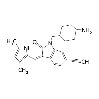 C#Cc1ccc2c(c1)N(CC1CCC(N)CC1)C(=O)/C2=C\c1[nH]c(C)cc1C